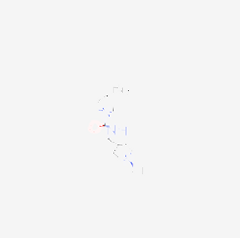 CCN1CCC(CNC(=O)N2CCC(C(C)(C)C)CC2)CC1